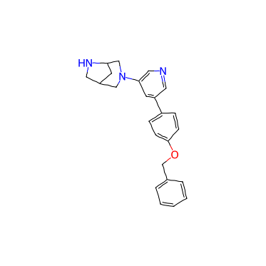 c1ccc(COc2ccc(-c3cncc(N4CC5CNC(C5)C4)c3)cc2)cc1